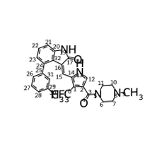 Cc1c(C(=O)N2CCN(C)CC2)c[nH]c1C=C1C(=O)Nc2cccc(-c3cccc(C(F)(F)F)c3)c21